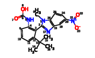 Cn1c(-c2c(NC(=O)O)cccc2C(C)(C)C)nc2cc([N+](=O)[O-])ccc21